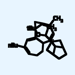 CCCCC1=CCCC2C(=C1)C1CC1=C(C)C=C2C1C2CCC1CN(C(C)OC(C)(C)C)C2